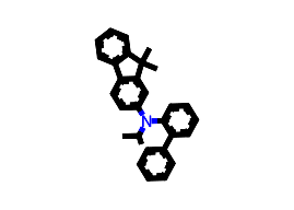 CC(C)N(c1ccc2c(c1)C(C)(C)c1ccccc1-2)c1ccccc1-c1ccccc1